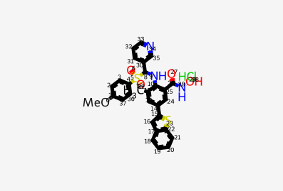 COc1ccc(S(=O)(=O)C(Nc2c(C)cc(-c3cc4ccccc4s3)cc2C(=O)NO)c2cccnc2)cc1.Cl